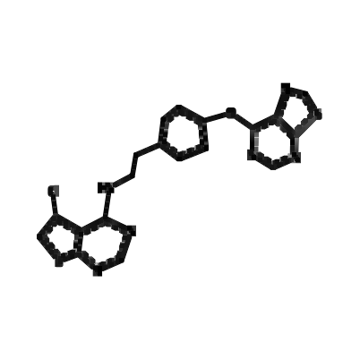 Clc1csc2ncnc(NCCc3ccc(Oc4ncnc5scnc45)cc3)c12